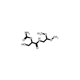 COC(CNC(=O)C(CO)OC(N)=O)OC